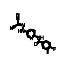 Cc1cc(C(=O)Nc2ccc(NN=C(C#N)C#N)cn2)ccc1F